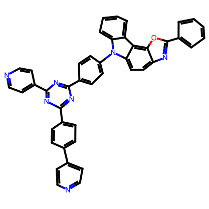 c1ccc(-c2nc3ccc4c(c5ccccc5n4-c4ccc(-c5nc(-c6ccncc6)nc(-c6ccc(-c7ccncc7)cc6)n5)cc4)c3o2)cc1